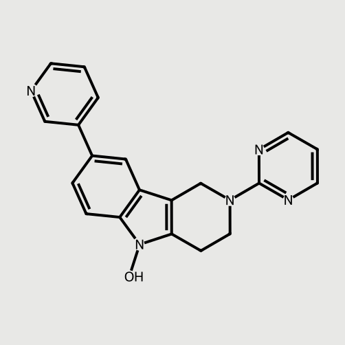 On1c2c(c3cc(-c4cccnc4)ccc31)CN(c1ncccn1)CC2